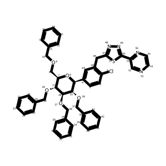 Clc1ccc([C@@H]2O[C@H](COCc3ccccc3)[C@@H](OCc3ccccc3)[C@H](OCc3ccccc3)[C@H]2OCc2ccccc2)cc1Cc1nnc(-c2cnccn2)s1